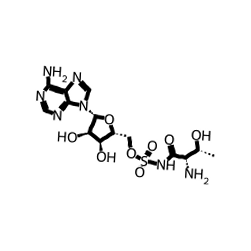 C[C@@H](O)[C@H](N)C(=O)NS(=O)(=O)OC[C@H]1O[C@@H](n2cnc3c(N)ncnc32)[C@H](O)[C@@H]1O